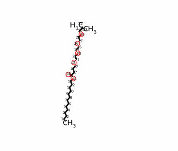 CCCCCCCCCCCCCCOC(=O)CCCOCCOCCOCCOCC(C)C